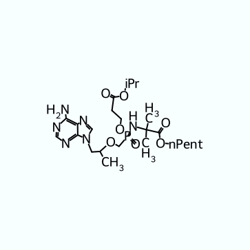 CCCCCOC(=O)C(C)(C)NP(=O)(COC(C)Cn1cnc2c(N)ncnc21)OCCC(=O)OC(C)C